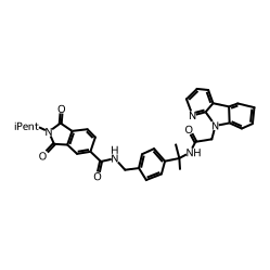 CCCC(C)N1C(=O)c2ccc(C(=O)NCc3ccc(C(C)(C)NC(=O)Cn4c5ccccc5c5cccnc54)cc3)cc2C1=O